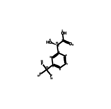 O=C(O)[C@@H](O)c1cccc(C(F)(F)F)c1